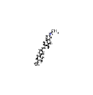 C/C=C/C1CCC(c2ccc(CCc3ccc(-c4ccc(C5CO5)c(F)c4F)cc3)c(F)c2F)CC1